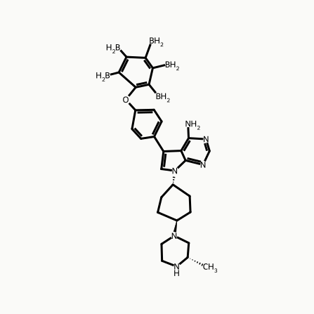 Bc1c(B)c(B)c(Oc2ccc(-c3cn([C@H]4CC[C@H](N5CCN[C@@H](C)C5)CC4)c4ncnc(N)c34)cc2)c(B)c1B